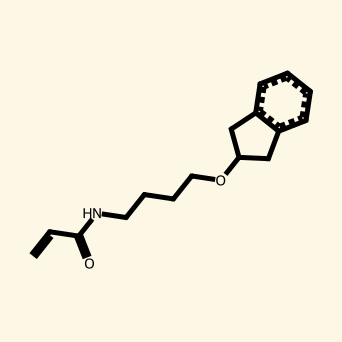 C=CC(=O)NCCCCOC1Cc2ccccc2C1